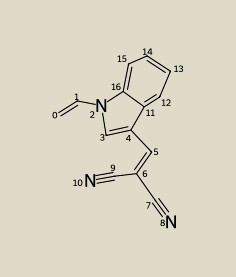 C=Cn1cc(C=C(C#N)C#N)c2ccccc21